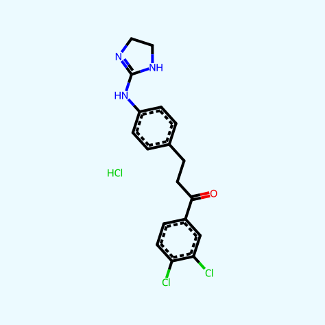 Cl.O=C(CCc1ccc(NC2=NCCN2)cc1)c1ccc(Cl)c(Cl)c1